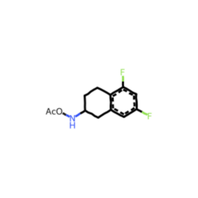 CC(=O)ONC1CCc2c(F)cc(F)cc2C1